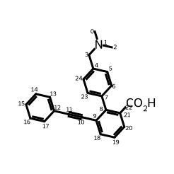 CN(C)Cc1ccc(-c2c(C#Cc3ccccc3)cccc2C(=O)O)cc1